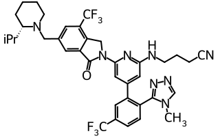 CC(C)[C@@H]1CCCCN1Cc1cc2c(c(C(F)(F)F)c1)CN(c1cc(-c3cc(C(F)(F)F)ccc3-c3nncn3C)cc(NCCCC#N)n1)C2=O